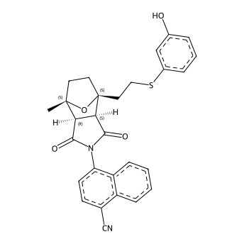 C[C@@]12CC[C@@](CCSc3cccc(O)c3)(O1)[C@H]1C(=O)N(c3ccc(C#N)c4ccccc34)C(=O)[C@H]12